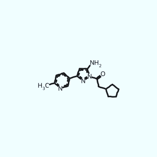 Cc1ccc(-c2cc(N)n(C(=O)CC3CCCC3)n2)cn1